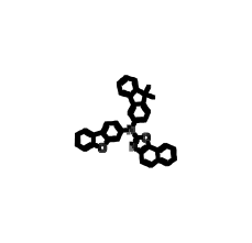 CC1(C)c2ccccc2-c2cc(N(c3ccc4c(c3)oc3ccccc34)c3nc4ccc5ccccc5c4o3)ccc21